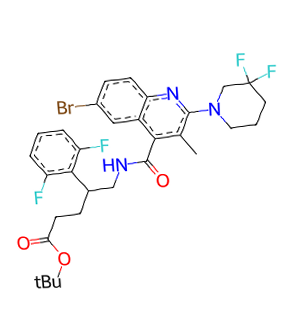 Cc1c(N2CCCC(F)(F)C2)nc2ccc(Br)cc2c1C(=O)NCC(CCC(=O)OC(C)(C)C)c1c(F)cccc1F